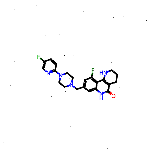 O=c1[nH]c2cc(CN3CCN(c4ccc(F)cn4)CC3)cc(F)c2c2c1CCCN2